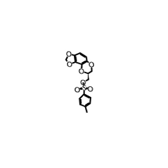 Cc1ccc(S(=O)(=O)OC[C@@H]2COc3ccc4c(c3O2)OCO4)cc1